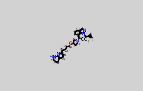 O=C(O)[C@@H](c1cccc2cnn(CC3CC3)c12)N1CC[C@@H](OCCCCc2ccc3c(n2)NCCC3)C1